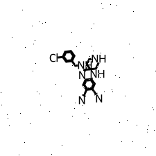 N#Cc1cc2c(cc1C#N)NC1(CCNCC1)C(NCc1cccc(Cl)c1)=N2